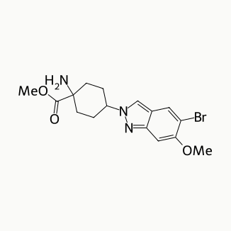 COC(=O)C1(N)CCC(n2cc3cc(Br)c(OC)cc3n2)CC1